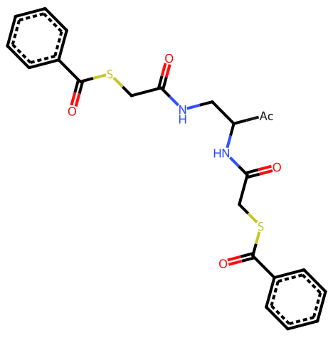 CC(=O)C(CNC(=O)CSC(=O)c1ccccc1)NC(=O)CSC(=O)c1ccccc1